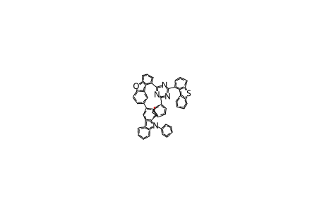 c1ccc(-c2nc(-c3cccc4oc5ccc(-c6ccc7c(c6)c6ccccc6n7-c6ccccc6)cc5c34)nc(-c3cccc4sc5ccccc5c34)n2)cc1